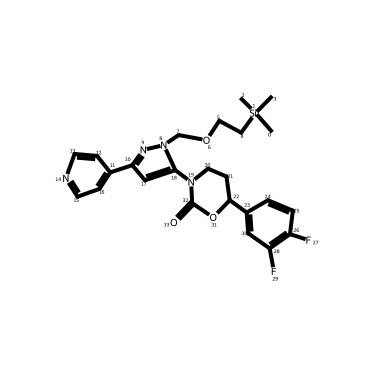 C[Si](C)(C)CCOCn1nc(-c2ccncc2)cc1N1CCC(c2ccc(F)c(F)c2)OC1=O